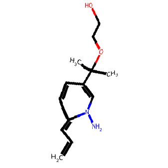 C=C/C=C1/C=CC(C(C)(C)OCCO)=CN1N